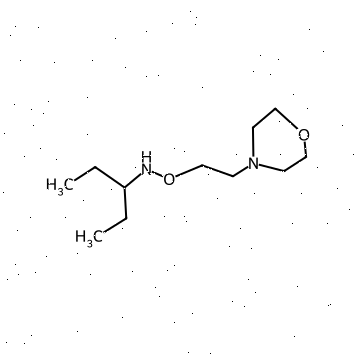 CCC(CC)NOCCN1CCOCC1